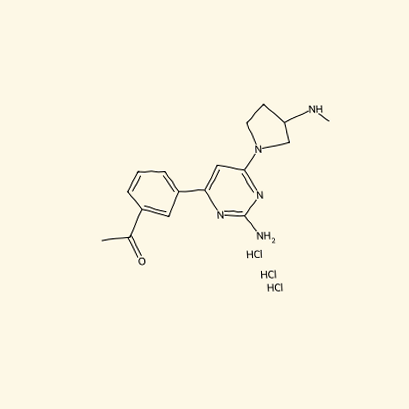 CNC1CCN(c2cc(-c3cccc(C(C)=O)c3)nc(N)n2)C1.Cl.Cl.Cl